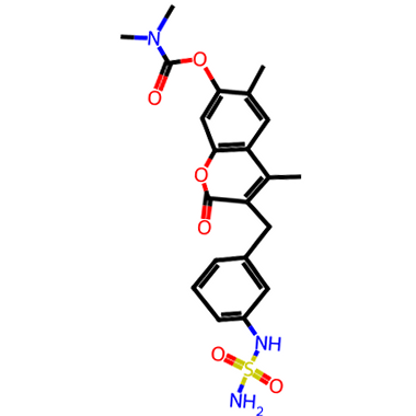 Cc1cc2c(C)c(Cc3cccc(NS(N)(=O)=O)c3)c(=O)oc2cc1OC(=O)N(C)C